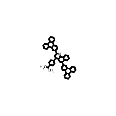 CC(C)c1ccc(-c2cc(-c3ccc4c5ccccc5c5ccccc5c4c3)nc3c2cc(-c2ccc4c5ccccc5c5ccccc5c4c2)c2ccccc23)cc1